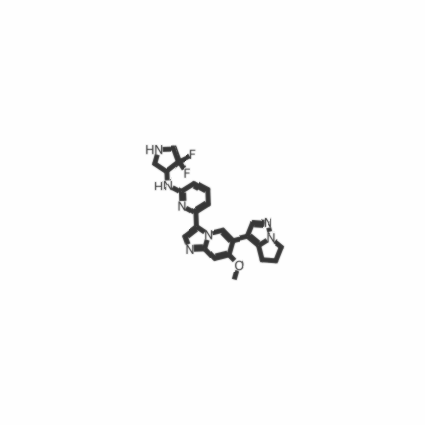 COc1cc2ncc(-c3cccc(NC4CNCC4(F)F)n3)n2cc1-c1cnn2c1CCC2